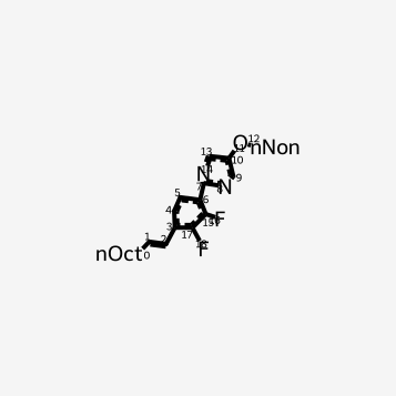 CCCCCCCCC=Cc1ccc(-c2ncc(OCCCCCCCCC)cn2)c(F)c1F